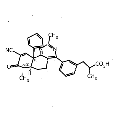 Cc1nc(-c2cccc(CC(C)C(=O)O)c2)c2c(n1)[C@@]1(c3ccccc3)C=C(C#N)C(=O)[C@@H](C)[C@@H]1CC2